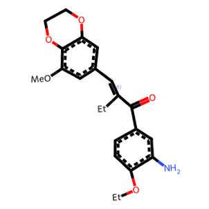 CCOc1ccc(C(=O)/C(=C/c2cc(OC)c3c(c2)OCCO3)CC)cc1N